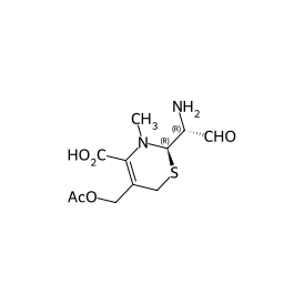 CC(=O)OCC1=C(C(=O)O)N(C)[C@@H]([C@H](N)C=O)SC1